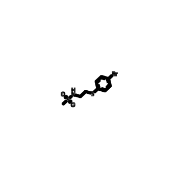 CS(=O)(=O)NCCSc1ccc(Br)cc1